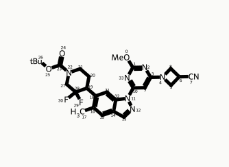 COc1nc(N2CC(C#N)C2)cc(-n2ncc3cc(C)c(C4CCN(C(=O)OC(C)(C)C)CC4(F)F)cc32)n1